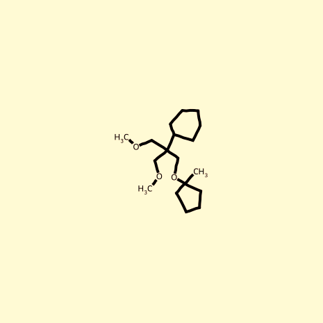 COCC(COC)(COC1(C)CCCC1)C1CCCCC1